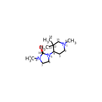 CN1CCC(N2CCN(C)C2=O)C(C)(C)C1